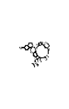 CN1CC[C@@H]2CCO[C@@H](C2)[C@@H]2CC[C@H]2CN2C[C@@]3(CCCc4cc(Cl)ccc43)COc3ccc(cc32)[C@@](F)(C(=O)NS(=O)(=O)N(C)C)CC1=O